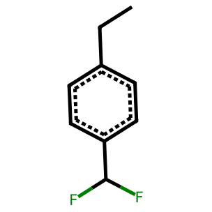 CCc1ccc(C(F)F)cc1